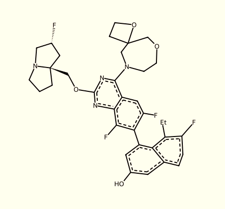 CCc1c(F)ccc2cc(O)cc(-c3c(F)cc4c(N5CCOCC6(CCO6)C5)nc(OC[C@@]56CCCN5C[C@H](F)C6)nc4c3F)c12